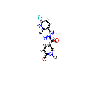 Cc1nc(F)ccc1NNC(=O)c1ccc(=O)n(C)c1